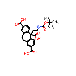 CC(C)(C)OC(=O)NCCC1(C(=O)O)c2ccc(C(=O)O)cc2CCc2cc(C(=O)O)ccc21